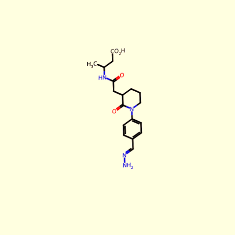 CC(CC(=O)O)NC(=O)CC1CCCN(c2ccc(C=NN)cc2)C1=O